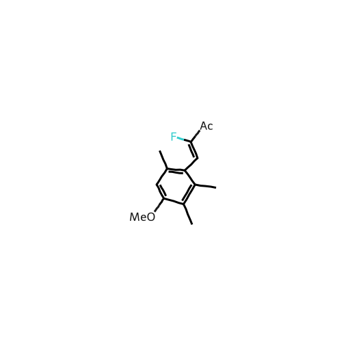 COc1cc(C)c(/C=C(\F)C(C)=O)c(C)c1C